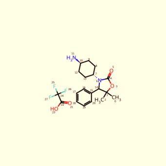 CC1(C)OC(=O)N([C@H]2CC[C@H](N)CC2)C1c1ccccc1.O=C(O)C(F)(F)F